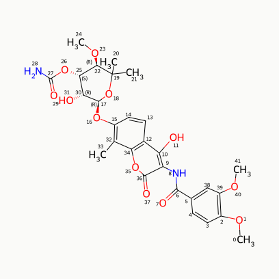 COc1ccc(C(=O)Nc2c(O)c3ccc(O[C@@H]4OC(C)(C)[C@H](OC)[C@@H](OC(N)=O)[C@H]4O)c(C)c3oc2=O)cc1OC